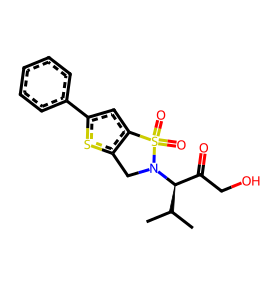 CC(C)[C@H](C(=O)CO)N1Cc2sc(-c3ccccc3)cc2S1(=O)=O